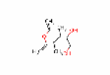 C=COC=C.CCCC.OCCO